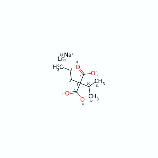 CCCC(C(=O)[O-])(C(=O)[O-])C(C)C.[Li+].[Na+]